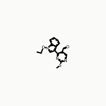 CCOn1cc(-c2nc(SC)ncc2C=O)c2ccccc21